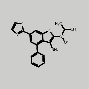 CC(C)[S+]([O-])c1sc2cc(-c3nccs3)cc(-c3ccccc3)c2c1N